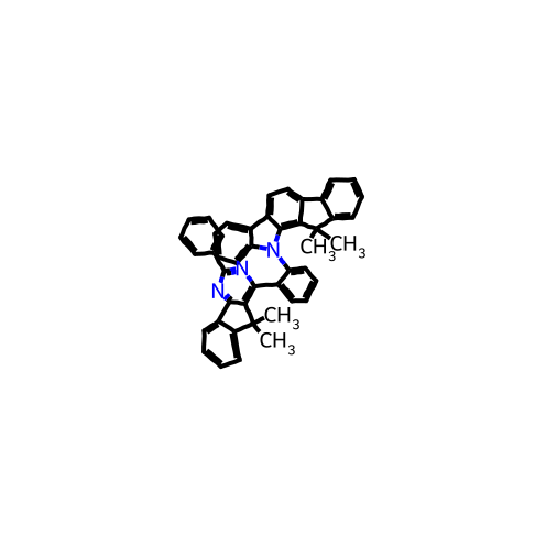 CC1(C)c2ccccc2-c2nc(-c3ccccc3)nc(-c3ccccc3-n3c4ccccc4c4ccc5c(c43)C(C)(C)c3ccccc3-5)c21